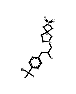 CCC(C)(C)c1ccc(CC(C)CN2CCC3(C2)CS(=O)(=O)C3)cc1